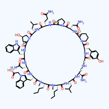 CCCC[C@H]1C(=O)N(C)[C@@H](CCCC)C(=O)N[C@@H](CC(C)C)C(=O)N[C@H](C(N)=O)CNCC(=O)N[C@@H](Cc2ccc(O)cc2)C(=O)N2CCCC[C@H]2C(=O)N[C@@H](CC(N)=O)C(=O)N2CCC[C@H]2C(=O)N[C@@H](CCC(N)=O)C(=O)N[C@@H](CC(C)C)C(=O)N2C[C@H](O)C[C@H]2C(=O)N[C@@H](Cc2c[nH]c3ccccc23)C(=O)N[C@@H](CC(N)=O)C(=O)N[C@@H](Cc2cn(CC(=O)O)c3ccccc23)C(=O)N1C